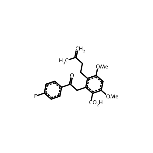 C=C(C)CCc1c(OC)cc(OC)c(C(=O)O)c1CC(=O)c1ccc(F)cc1